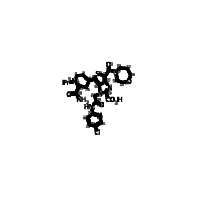 CC(C)N1CCC(c2sc(C(=O)N3CCCOCC3)c3nc(C(=O)O)n(CC(=O)Nc4ccc(Cl)cn4)c23)CC1C(N)=O